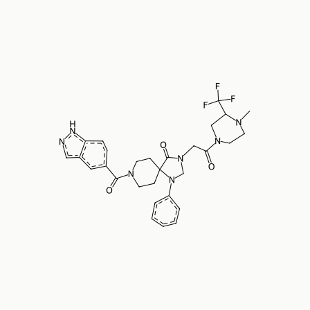 CN1CCN(C(=O)CN2CN(c3ccccc3)C3(CCN(C(=O)c4ccc5[nH]ncc5c4)CC3)C2=O)CC1C(F)(F)F